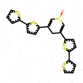 [O-][S+]1C=C(c2ccc(-c3cccs3)s2)CC(c2ccc(-c3cccs3)s2)=C1